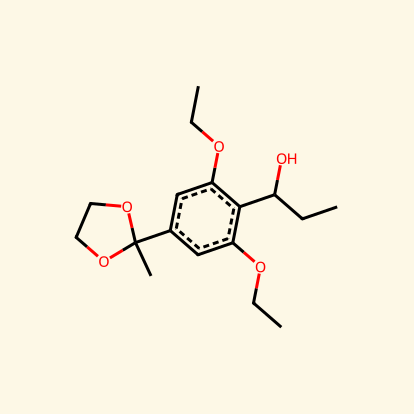 CCOc1cc(C2(C)OCCO2)cc(OCC)c1C(O)CC